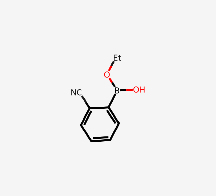 CCOB(O)c1ccccc1C#N